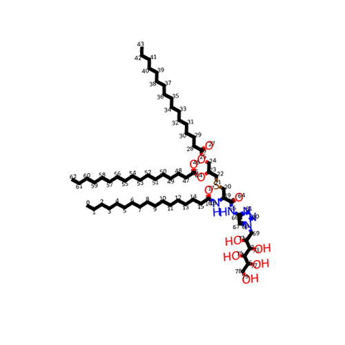 CCCCCCCCCCCCCCCCC(=O)NC(CSCC(COC(=O)CCCCCCCCCCCCCCCC)OC(=O)CCCCCCCCCCCCCCCC)C(=O)Nc1cn(CC(O)C(O)C(O)C(O)CO)nn1